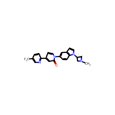 CN1CC(n2ccc3cc(-n4ccc(-c5ccc(C(F)(F)F)cn5)cc4=O)ccc32)C1